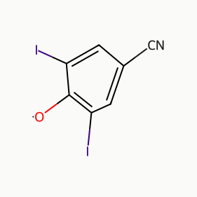 N#Cc1cc(I)c([O])c(I)c1